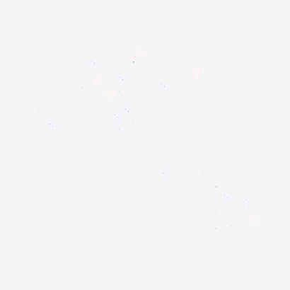 Cc1ncsc1-c1ccc([C@H](C)NC(=O)[C@@H]2C[C@@H](O)CN2C(=O)[C@H](C2CCN(C3CCOCC3)CC2)n2cc(C3CCC(CN4CCC(c5ccc6c(c5)-n5c(nc(=O)c7c(Cl)cccc75)C65CCCCC5)CC4)CC3)nn2)cc1